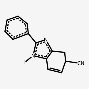 N#CC1C=Cc2c(nc(-c3ccccc3)n2I)C1